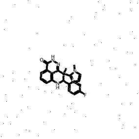 Cn1ccnc1C1(C)c2n[nH]c(=O)c3cccc(c23)NC1c1ccc(F)cc1